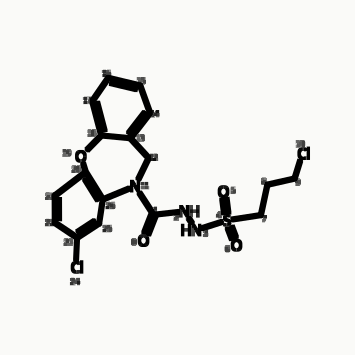 O=C(NNS(=O)(=O)CCCCl)N1Cc2ccccc2Oc2ccc(Cl)cc21